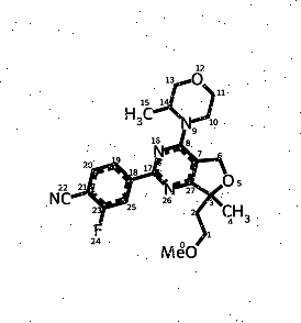 COCCC1(C)OCc2c(N3CCOCC3C)nc(-c3ccc(C#N)c(F)c3)nc21